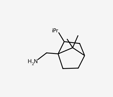 CC(C)C1CC2CCC1(CN)C2(C)C